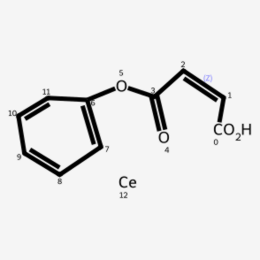 O=C(O)/C=C\C(=O)Oc1ccccc1.[Ce]